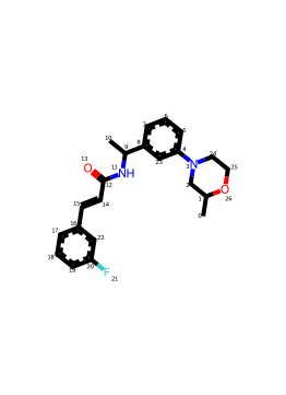 CC1CN(c2cccc(C(C)NC(=O)C=Cc3cccc(F)c3)c2)CCO1